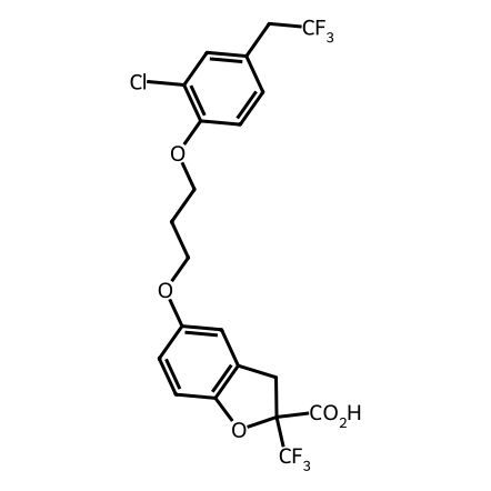 O=C(O)C1(C(F)(F)F)Cc2cc(OCCCOc3ccc(CC(F)(F)F)cc3Cl)ccc2O1